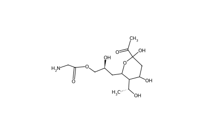 CC(=O)C1(O)CC(O)C([C@@H](C)O)C(C[C@H](O)COC(=O)CN)O1